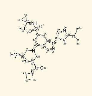 C[C@H]1CN(c2cc(S(=O)(=O)NC3(C)CC3)cn3c(-c4nnc(C(F)F)s4)ncc23)C[C@@H](C(=O)N2CCC2)O1